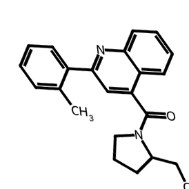 Cc1ccccc1-c1cc(C(=O)N2CCCC2CO)c2ccccc2n1